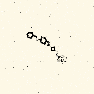 CC(=O)N[C@@H](C)CO[C@H]1C[C@H](c2nc3cnc(OCc4ccccc4)cc3o2)C1